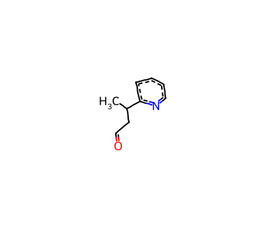 CC(CC=O)c1ccccn1